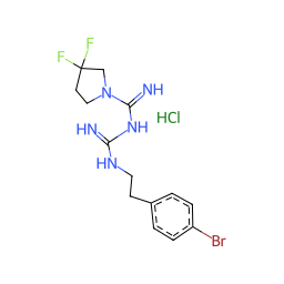 Cl.N=C(NCCc1ccc(Br)cc1)NC(=N)N1CCC(F)(F)C1